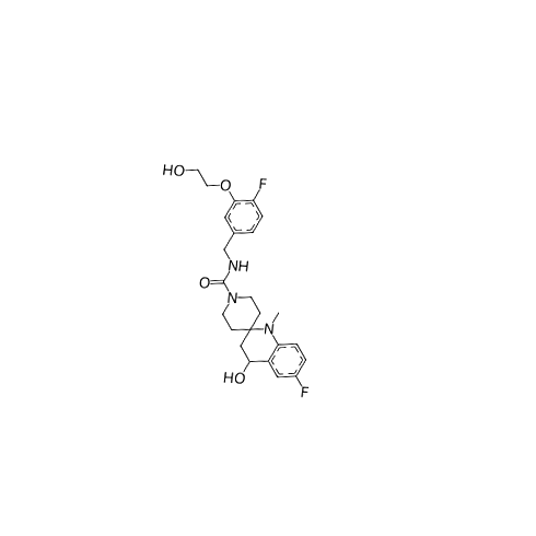 CN1c2ccc(F)cc2C(O)CC12CCN(C(=O)NCc1ccc(F)c(OCCO)c1)CC2